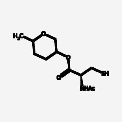 CC(=O)N[C@@H](CS)C(=O)OC1CCC(C)OC1